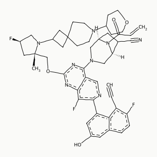 C#Cc1c(F)ccc2cc(O)cc(-c3ncc4c(N5C[C@H]6CC(C#N)[C@@H](C5)N6C(=O)C=C)nc(OC[C@]5(C)C[C@@H](F)CN5C5CC6(CCN(C7CCOCC7)CC6)C5)nc4c3F)c12